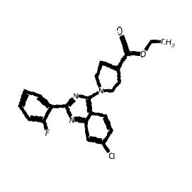 CCOC(=O)C1CCN(c2nc(-c3ccccc3F)nc3cc(Cl)ccc23)CC1